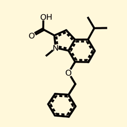 CC(C)c1ccc(OCc2ccccc2)c2c1cc(C(=O)O)n2C